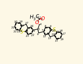 CC(=O)OCC(Cc1ccc2c(c1)Cc1ccccc1S2)c1ccc2c(c1)Cc1ccccc1S2